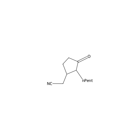 CCCCCC1C(=O)CCC1CC#N